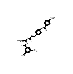 CCCCCC(OC(=O)/C=C/c1ccc(OC(=O)c2ccc(OC)cc2)cc1)OC(=O)c1cc(N)cc(N)c1